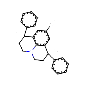 C[C@@]1(c2ccccc2)CCN2CC[C@](C)(c3ccccc3)c3cc([N+](=O)[O-])cc1c32